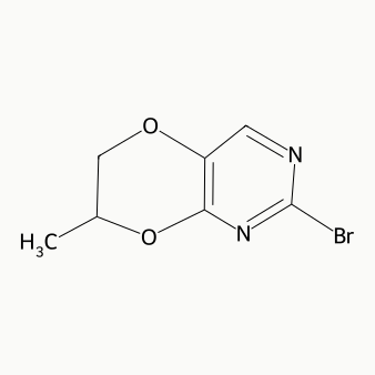 CC1COc2cnc(Br)nc2O1